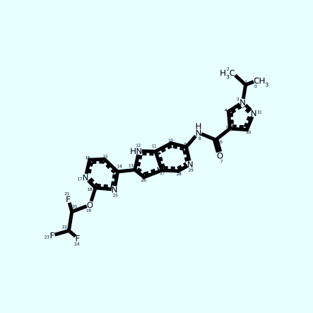 CC(C)n1cc(C(=O)Nc2cc3[nH]c(-c4ccnc(OC(F)C(F)F)n4)cc3cn2)cn1